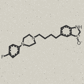 [O-][S+]1CNc2ccc(CCCCN3CCN(c4ccc(F)cc4)CC3)cc21